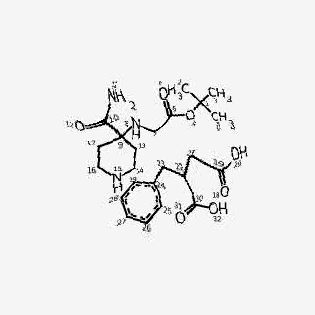 CC(C)(C)OC(=O)CNC1(C(N)=O)CCNCC1.O=C(O)CC(Cc1ccccc1)C(=O)O